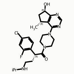 CC(C)NCC[C@@H](C(=O)N1CCN(c2ncnc3c2[C@H](C)C[C@H]3O)CC1)c1ccc(Cl)cc1F